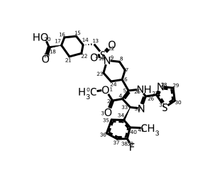 COC(=O)C1=C(C2CCN(S(=O)(=O)C[C@H]3CC[C@H](C(=O)O)CC3)CC2)NC(c2nccs2)=N[C@H]1c1cccc(F)c1C